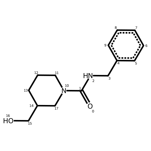 O=C(NCc1ccccc1)N1CCCC(CO)C1